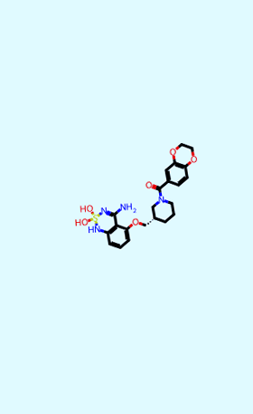 NC1=NS(O)(O)Nc2cccc(OC[C@H]3CCCN(C(=O)c4ccc5c(c4)OCCO5)C3)c21